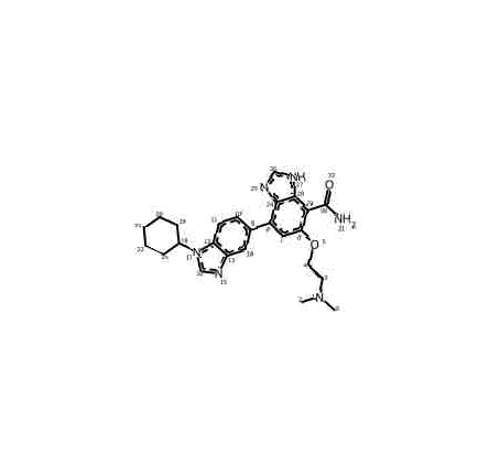 CN(C)CCOc1cc(-c2ccc3c(c2)ncn3C2CCCCC2)c2nc[nH]c2c1C(N)=O